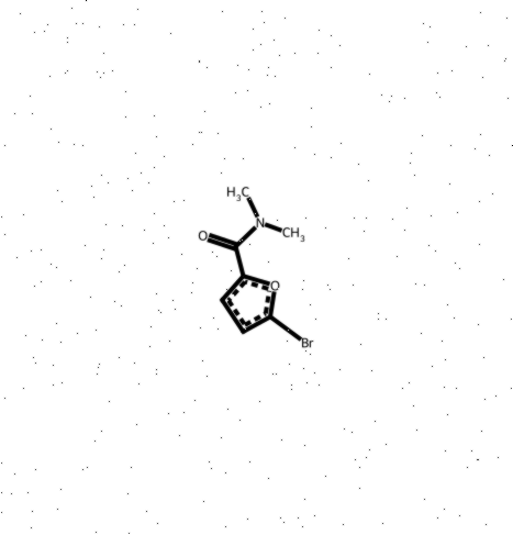 CN(C)C(=O)c1ccc(Br)o1